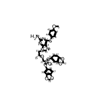 COc1ccc(Sc2nc(N)nc3c2ncn3C[C@@H](C)OCP(=O)(Oc2ccc3c(c2)OCO3)Oc2ccc3c(c2)OCO3)cc1